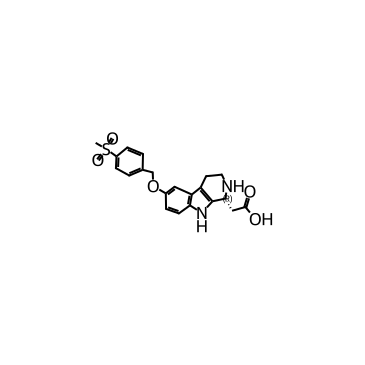 CS(=O)(=O)c1ccc(COc2ccc3[nH]c4c(c3c2)CCN[C@@H]4CC(=O)O)cc1